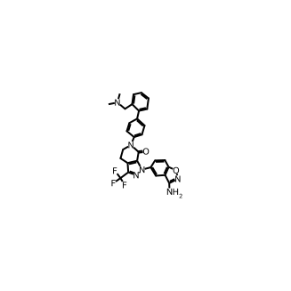 CN(C)Cc1ccccc1-c1ccc(N2CCc3c(C(F)(F)F)nn(-c4ccc5onc(N)c5c4)c3C2=O)cc1